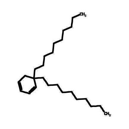 CCCCCCCCCCC1(CCCCCCCCCC)C=CC=CC1